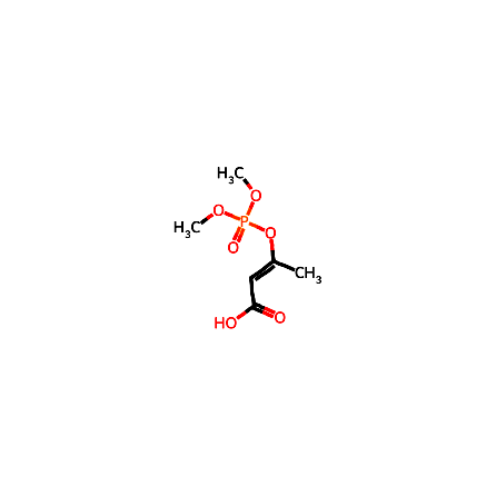 COP(=O)(OC)OC(C)=CC(=O)O